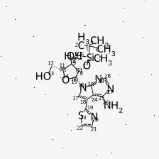 CC(C)(C)[Si](C)(C)O[C@H]1C(O)[C@@H](CO)O[C@H]1n1cc(-c2nccs2)c2c(N)ncnc21